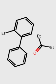 CCC(=O)CC.CCc1ccccc1-c1ccccc1